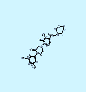 O=C1C[C@H](n2ncc(NC[C@@H]3CCCOC3)c(Cl)c2=O)CCN1c1cc(F)cc(F)c1